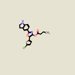 CCCC(=O)Oc1nc(-c2ccc3c(c2)CCN3)oc1-c1ccc(Cl)s1